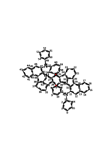 c1ccc(N(c2ccccc2)c2cc3ccccc3c3c4cccc5c6cc7c(cc6n(c23)c54)c2cccc3c4c5ccccc5cc(N(c5ccccc5)c5ccccc5)c4n7c23)cc1